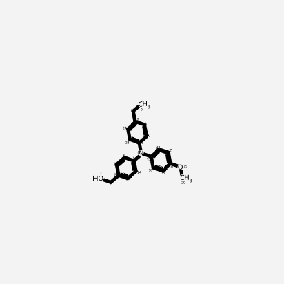 CCc1ccc(N(c2ccc(CO)cc2)c2ccc(OC)cc2)cc1